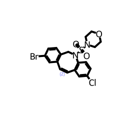 O=S(=O)(N1CCOCC1)N1Cc2ccc(Br)cc2/C=C\c2cc(Cl)ccc21